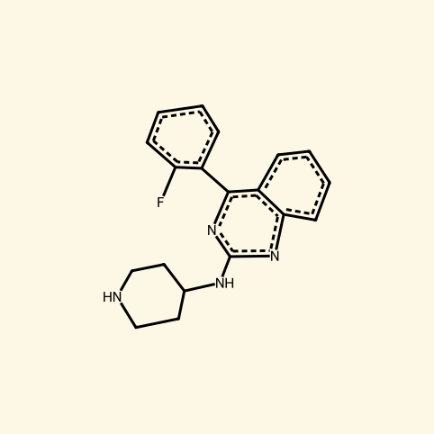 Fc1ccccc1-c1nc(NC2CCNCC2)nc2ccccc12